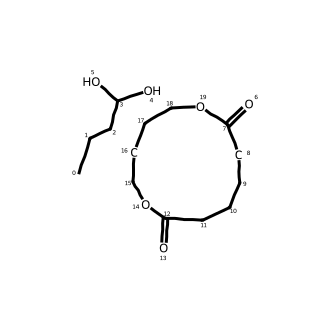 CCCC(O)O.O=C1CCCCC(=O)OCCCCO1